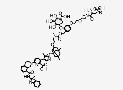 Cc1c(-c2ccc(N3CCc4cccc(C(=O)Nc5nc6ccccc6s5)c4C3)nc2C(=O)O)cnn1CC12CC3(C)CC(C)(C1)CC(OCCN(C)C(=O)OCc1ccc(OCCOCCNC(=O)[C@@H](N)CS(=O)(=O)O)cc1O[C@@H]1O[C@H](C(=O)O)[C@@H](O)[C@H](O)[C@H]1O)(C3)C2